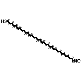 O=C=NCCCCCCCCCCCCCCCCCCCCCCCCCCCCCCCCCS